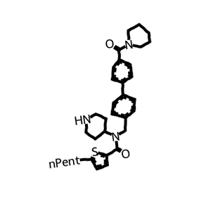 CCCCCc1ccc(C(=O)N(Cc2ccc(-c3ccc(C(=O)N4CCCCC4)cc3)cc2)C2CCNCC2)s1